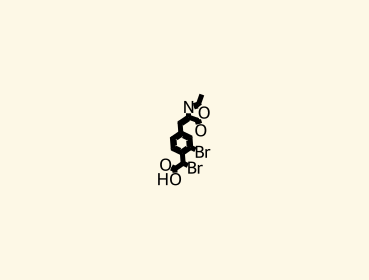 CC1=NC(=Cc2ccc(C(Br)C(=O)O)c(Br)c2)C(=O)O1